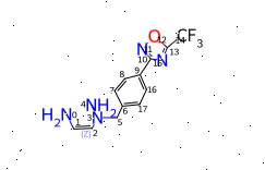 N/C=C\N(N)Cc1ccc(-c2noc(C(F)(F)F)n2)cc1